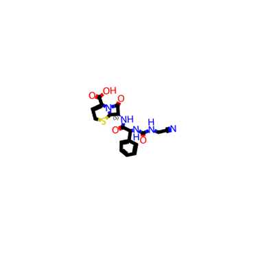 N#CCNC(=O)NC(C(=O)N[C@H]1C(=O)N2C(C(=O)O)=CCSC12)c1ccccc1